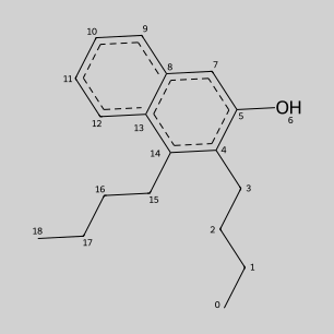 CCCCc1c(O)cc2ccccc2c1CCCC